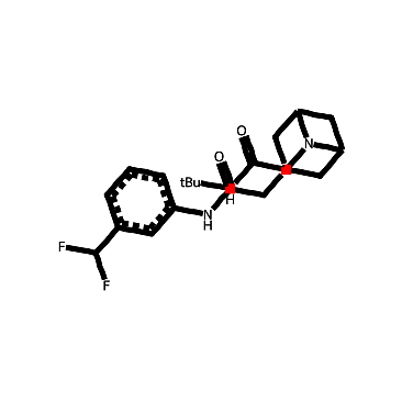 CC(C)(C)NC(=O)CN1C2CC1CN(CC(=O)Nc1cccc(C(F)F)c1)C2